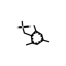 Cc1cc(C)c(CS(C)(=O)=O)c(C)c1